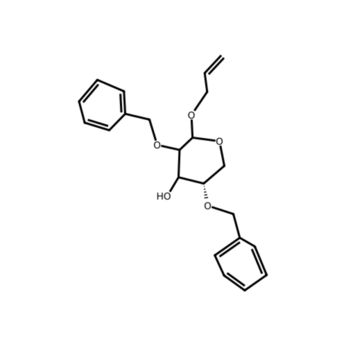 C=CCOC1OC[C@H](OCc2ccccc2)C(O)C1OCc1ccccc1